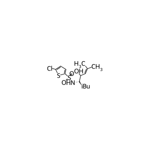 CC[C@H](C)[C@H](NS(=O)(=O)c1ccc(Cl)s1)C(O)C=C(C)C